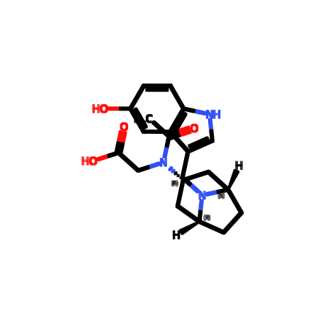 CC(=O)N(CC(=O)O)[C@H]1C[C@H]2CC[C@@H](C1)N2Cc1c[nH]c2ccc(O)cc12